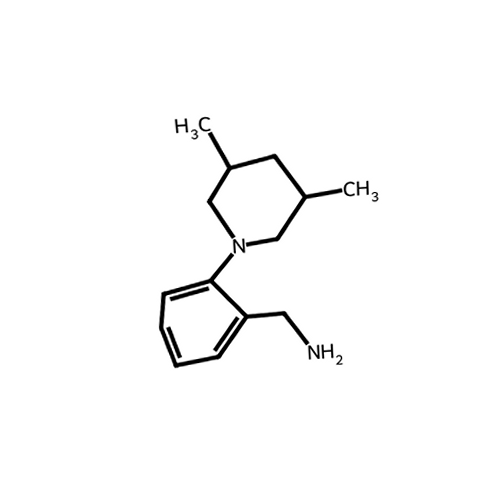 CC1CC(C)CN(c2ccccc2CN)C1